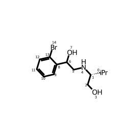 CC(C)[C@H](CO)NCC(O)c1ccccc1Br